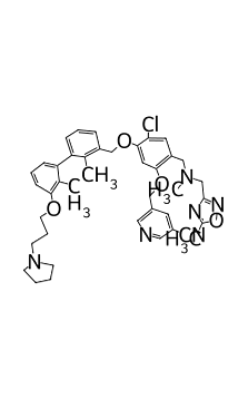 Cc1nc(CN(C)Cc2cc(Cl)c(OCc3cccc(-c4cccc(OCCCN5CCCC5)c4C)c3C)cc2OCc2cncc(C#N)c2)no1